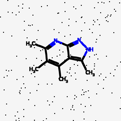 Cc1nc2n[nH]c(C)c2c(C)c1C